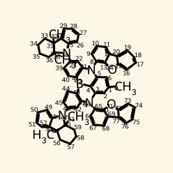 Cc1cc2c3c(c1)N(c1cccc4c1oc1ccccc14)c1cc(N4c5ccccc5C5(C)CCCCC45C)ccc1B3c1ccc(N3c4ccccc4C4(C)CCCCC34C)cc1N2c1cccc2c1oc1ccccc12